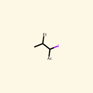 CCC(C)C(I)C(C)=O